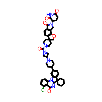 O=C1CC[C@H](N2Cc3c(ccc4c3OCC43CCN(C(=O)N4CC(N5CCC(c6ccc7c(c6)-n6c(nc(=O)c8c(Cl)cccc86)C76CCCCC6)CC5)C4)CC3)C2=O)C(=O)N1